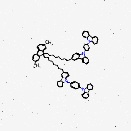 Cc1ccc2c(c1)C(CCCCCCCCc1ccc3c(c1)c1ccccc1n3-c1ccc(-n3c4ccccc4c4ccccc43)cc1)(CCCCCCCCc1ccc3c(c1)c1ccccc1n3-c1ccc(-n3c4ccccc4c4ccccc43)cc1)c1cc(C)ccc1-2